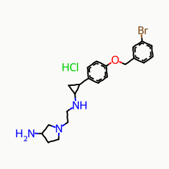 Cl.NC1CCN(CCNC2CC2c2ccc(OCc3cccc(Br)c3)cc2)C1